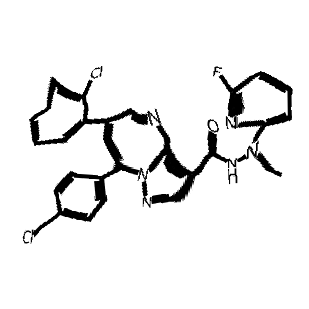 CN(NC(=O)c1cnn2c(-c3ccc(Cl)cc3)c(-c3ccccc3Cl)cnc12)c1cccc(F)n1